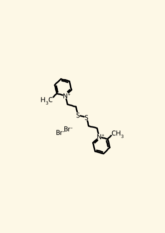 Cc1cccc[n+]1CCSSCC[n+]1ccccc1C.[Br-].[Br-]